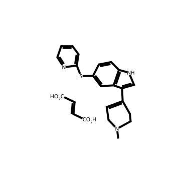 CN1CC=C(c2c[nH]c3ccc(Sc4ccccn4)cc23)CC1.O=C(O)C=CC(=O)O